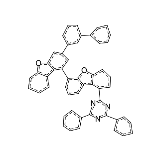 c1ccc(-c2cccc(-c3cc(-c4cccc5c4oc4cccc(-c6nc(-c7ccccc7)nc(-c7ccccc7)n6)c45)c4c(c3)oc3ccccc34)c2)cc1